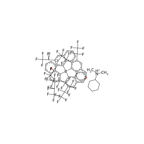 C[NH+](C)C1CCCCC1.FC(F)(F)C(F)(F)c1cc2ccccc2c([B-](c2c(C(F)(F)C(F)(F)F)c(C(F)(F)C(F)(F)F)cc3ccccc23)(c2c(C(F)(F)C(F)(F)F)c(C(F)(F)C(F)(F)F)cc3ccccc23)c2c(C(F)(F)C(F)(F)F)c(C(F)(F)C(F)(F)F)cc3ccccc23)c1C(F)(F)C(F)(F)F